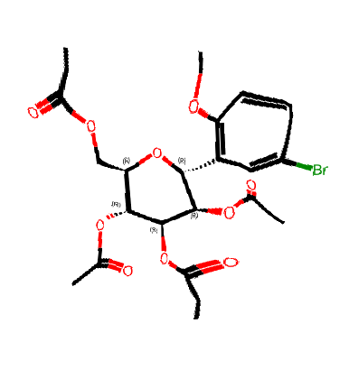 COc1ccc(Br)cc1[C@H]1O[C@H](COC(C)=O)[C@@H](OC(C)=O)[C@H](OC(C)=O)[C@@H]1OC(C)=O